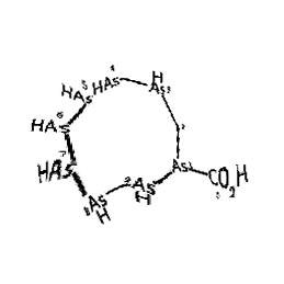 O=C(O)[As]1C[AsH][AsH][AsH][AsH][AsH][AsH][AsH]1